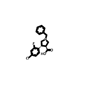 O=C(O)[C@@H]1CN(Cc2ccccc2)C[C@H]1c1ccc(Cl)cc1F